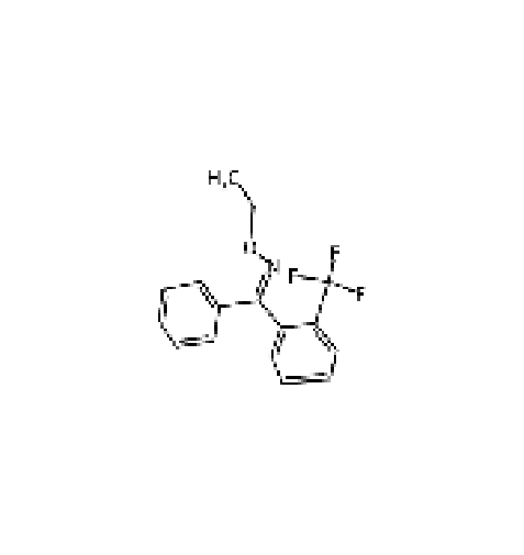 CCO/N=C(\c1ccccc1)c1ccccc1C(F)(F)F